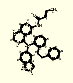 CC=CC(=O)Nc1cc2c(N(c3ccc4[nH]ncc4c3)c3ccccc3CCc3ccccc3)ncnc2cn1